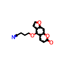 N#CCCCOc1c2ccoc2cc2oc(=O)ccc12